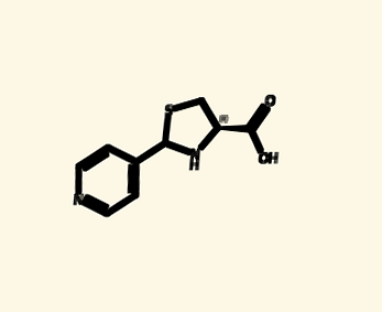 O=C(O)[C@@H]1CSC(c2ccncc2)N1